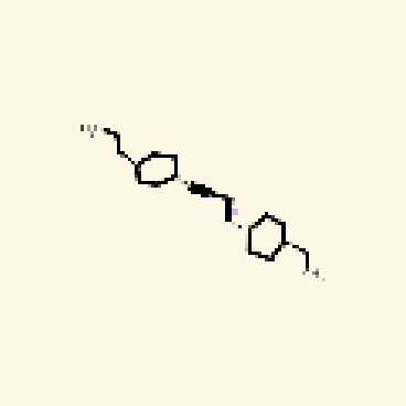 CCC[C@H]1CC[C@H](C#C/C=C/[C@H]2CC[C@H](CC)CC2)CC1